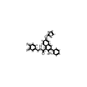 CC(C)c1c(-c2ccccc2)cc2cc(Oc3nccs3)ccc2c1C(=O)NCc1ccc(F)c(F)c1